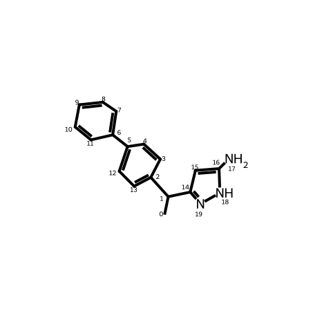 CC(c1ccc(-c2ccccc2)cc1)c1cc(N)[nH]n1